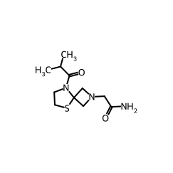 CC(C)C(=O)N1CCSC12CN(CC(N)=O)C2